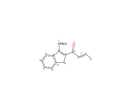 C/C=C/C(=O)C1=C(CCCCCC)c2ccccc2C1